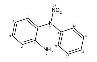 Nc1ccccc1N(c1ccccc1)[N+](=O)[O-]